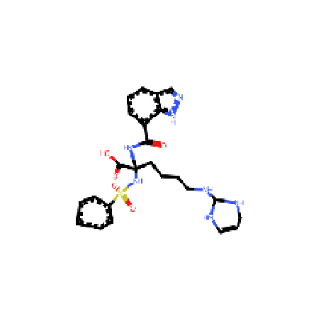 O=C(NC(CCCCNC1NC=CCN1)(NS(=O)(=O)c1ccccc1)C(=O)O)c1cccc2cn[nH]c12